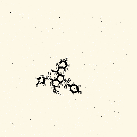 Cc1ccc(S(=O)(=O)n2cc(C(C)c3ncc(F)cc3F)c3c(Nc4cn(C)cn4)nc(N)nc32)cc1